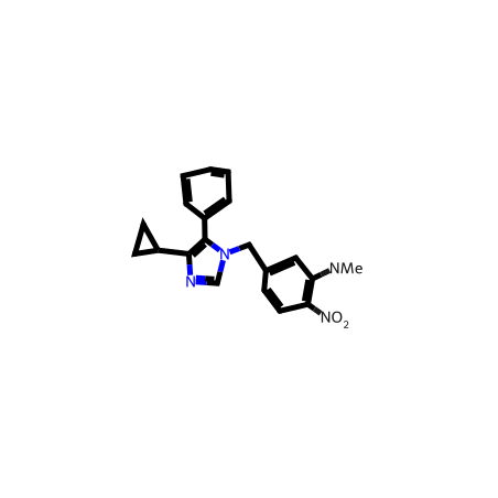 CNc1cc(Cn2cnc(C3CC3)c2-c2ccccc2)ccc1[N+](=O)[O-]